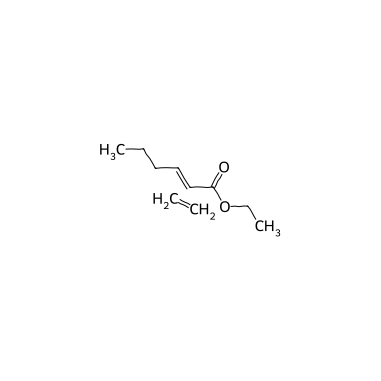 C=C.CCCC=CC(=O)OCC